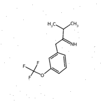 CC(C)C(=N)Cc1cccc(OC(F)(F)F)c1